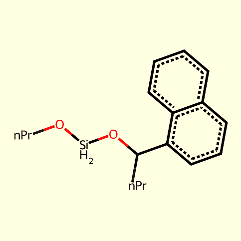 CCCO[SiH2]OC(CCC)c1cccc2ccccc12